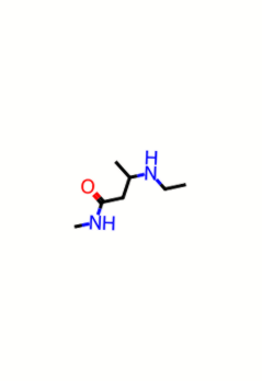 CCNC(C)CC(=O)NC